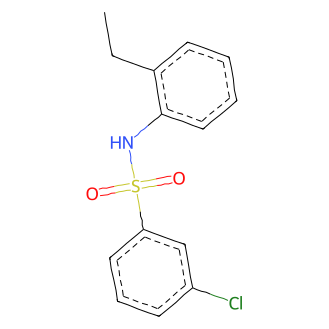 CCc1ccccc1NS(=O)(=O)c1cccc(Cl)c1